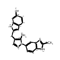 Cc1nc2cc(-n3ncc(Cc4cc5ccc(O)cc5[nH]4)c3N)ccc2[nH]1